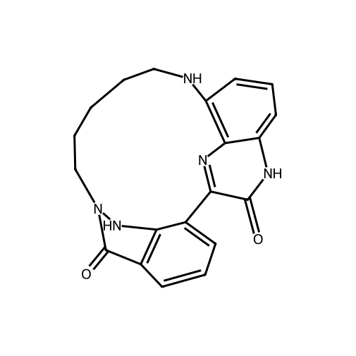 O=c1[nH]c2cccc3c2nc1-c1cccc2c(=O)n([nH]c12)CCCCCN3